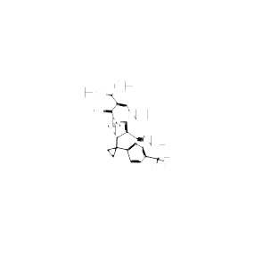 CC(O)c1c[nH]c2c(C#N)c(C3(c4ccc(C(F)(F)F)cc4)CC3)nn2c1=O